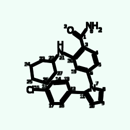 NC(=O)c1ccc(-n2cccc2-c2ccc(Cl)cc2)cc1NC1CCCCC1